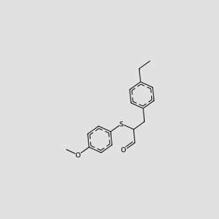 CCc1ccc(CC(C=O)Sc2ccc(OC)cc2)cc1